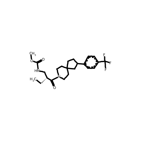 CC[C@H](CNC(=O)OC)C(=O)N1CCC2(CCC(c3ccc(C(F)(F)F)cc3)C2)CC1